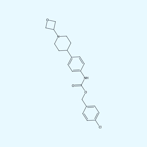 O=C(Nc1ccc(C2CCN(C3COC3)CC2)cc1)OCc1ccc(Cl)cc1